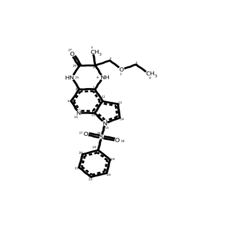 CCOCC1(C)Nc2c(cnc3c2ccn3S(=O)(=O)c2ccccc2)NC1=O